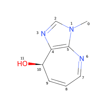 Cn1cnc2c1N=CC=C[C@H]2O